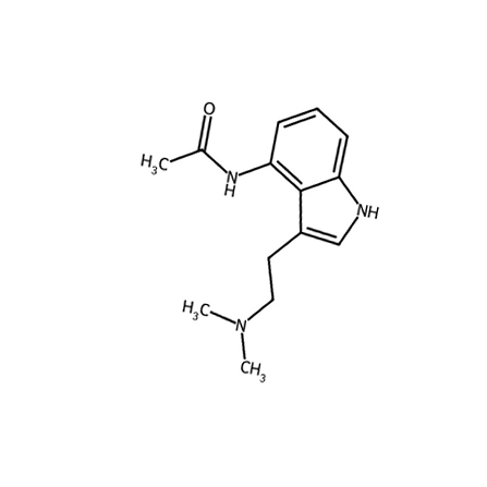 CC(=O)Nc1cccc2[nH]cc(CCN(C)C)c12